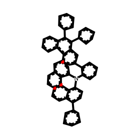 c1ccc(-c2ccc(N(c3ccccc3-c3ccc4c(c3)c(-c3ccccc3)c(-c3ccccc3)c3ccccc34)c3cccc4ccccc34)c3ccccc23)cc1